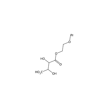 CC(C)OCCOC(=O)C(O)C(O)C(=O)O